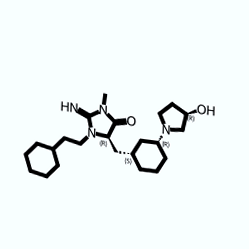 CN1C(=N)N(CCC2CCCCC2)[C@H](C[C@H]2CCC[C@@H](N3CC[C@@H](O)C3)C2)C1=O